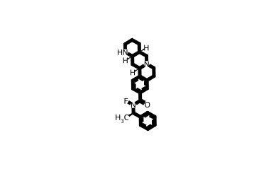 C[C@H](c1ccccc1)N(F)C(=O)c1ccc2c(c1)CCN1C[C@@H]3CCCN[C@@H]3C[C@H]21